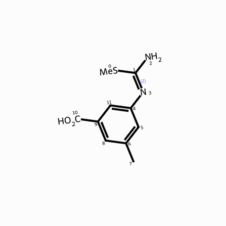 CS/C(N)=N\c1cc(C)cc(C(=O)O)c1